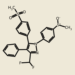 C[S+]([O-])c1ccc(-n2nc(C(F)F)c(-c3ccccc3)c2-c2ccc(S(C)(=O)=O)cc2)cc1